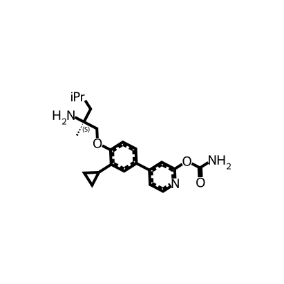 CC(C)C[C@](C)(N)COc1ccc(-c2ccnc(OC(N)=O)c2)cc1C1CC1